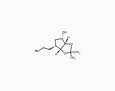 CC(C)(C)OC[C@H]1C[C@H](O)[C@@H]2OC(C)(C)O[C@H]12